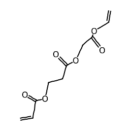 C=COC(=O)COC(=O)CCOC(=O)C=C